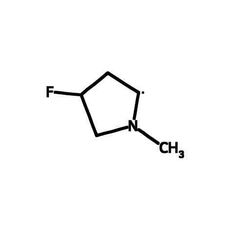 CN1[CH]CC(F)C1